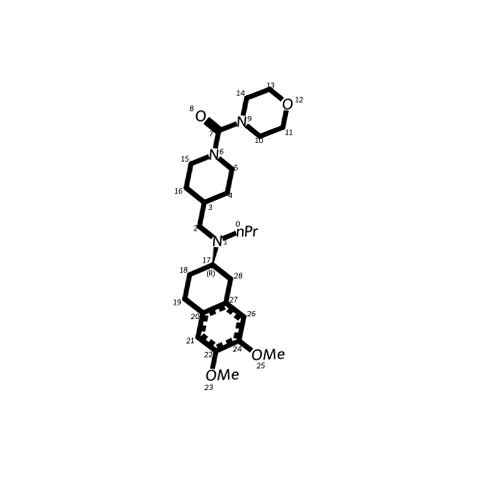 CCCN(CC1CCN(C(=O)N2CCOCC2)CC1)[C@@H]1CCc2cc(OC)c(OC)cc2C1